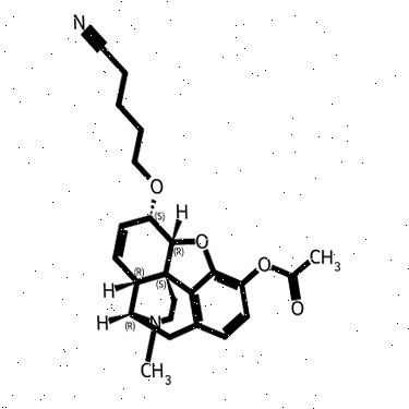 CC(=O)Oc1ccc2c3c1O[C@H]1[C@@H](OCCCCC#N)C=C[C@H]4[C@@H](C2)N(C)CC[C@@]341